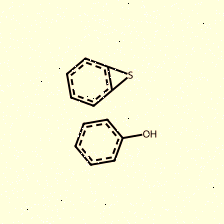 Oc1ccccc1.c1ccc2c(c1)S2